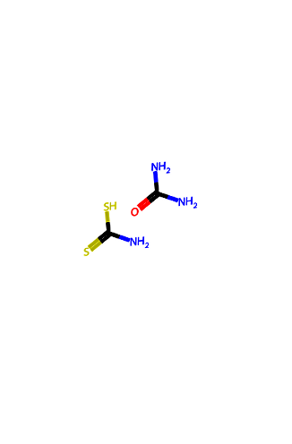 NC(=S)S.NC(N)=O